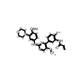 C=CC(=O)Nc1cc(-c2nc(Nc3ccc(OC)c(N4CCOCC4)c3)ncc2OC(F)(F)F)ccc1F